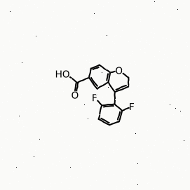 O=C(O)c1ccc2c(c1)C(c1c(F)cccc1F)=CCO2